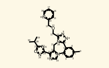 Cc1ccc2c(c1)-c1nnc(COCc3ccccn3)n1Cc1c(-c3noc(C(C)C)n3)ncn1-2